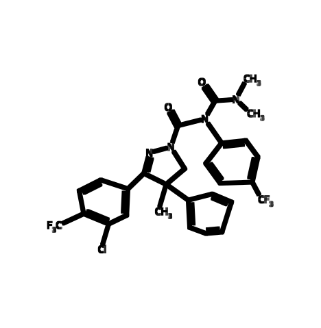 CN(C)C(=O)N(C(=O)N1CC(C)(c2ccccc2)C(c2ccc(C(F)(F)F)c(Cl)c2)=N1)c1ccc(C(F)(F)F)cc1